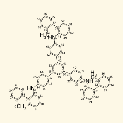 Cc1ccccc1-c1ccccc1Nc1ccc(-c2cc(-c3ccc(Nc4ccccc4-c4ccccc4C)cc3)cc(-c3ccc(Nc4ccccc4-c4ccccc4C)cc3)c2)cc1